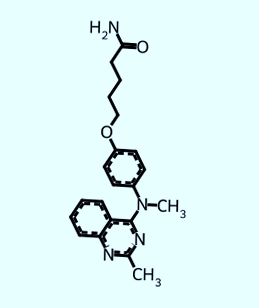 Cc1nc(N(C)c2ccc(OCCCCC(N)=O)cc2)c2ccccc2n1